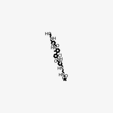 Cc1c(NC(=O)c2ccc(CNCCO)cn2)cccc1-c1cccc(NC(=O)c2ccc(CNCCCNC(=O)OC(C)(C)C)cn2)c1Cl